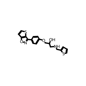 OC(CNCc1cccs1)COc1ccc(-c2noc3ccsc23)cc1